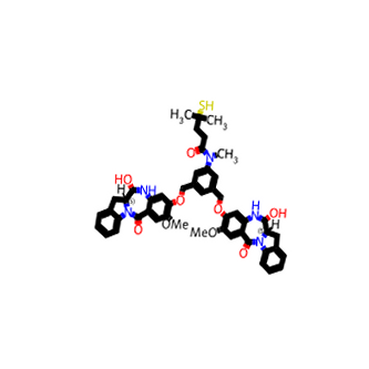 COc1cc2c(cc1OCc1cc(COc3cc4c(cc3OC)C(=O)N3c5ccccc5C[C@H]3C(O)N4)cc(N(C)C(=O)CCC(C)(C)S)c1)NC(O)[C@@H]1Cc3ccccc3N1C2=O